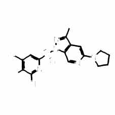 Cc1nn(S(=O)(=O)c2cc(Cl)c(O)c(Cl)n2)c2cnc(N3CCCC3)cc12